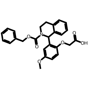 COc1ccc(OCC(=O)O)c(C2c3ccccc3CCN2C(=O)OCc2ccccc2)c1